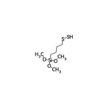 CO[Si](CCCCSS)(OC)OC